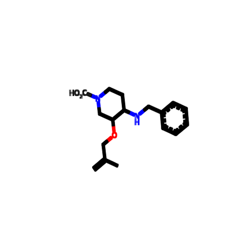 C=C(C)COC1CN(C(=O)O)CCC1NCc1ccccc1